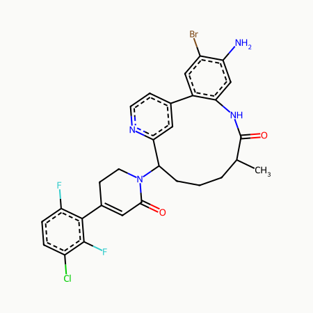 CC1CCCC(N2CCC(c3c(F)ccc(Cl)c3F)=CC2=O)c2cc(ccn2)-c2cc(Br)c(N)cc2NC1=O